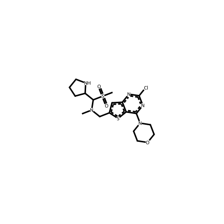 CN(Cc1cc2nc(Cl)nc(N3CCOCC3)c2s1)C(C1CCCN1)S(C)(=O)=O